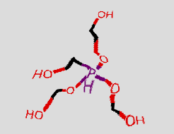 OCO[PH](CO)(OCO)OCO